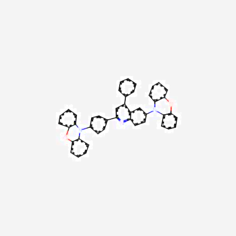 c1ccc(-c2cc(-c3ccc(N4c5ccccc5Oc5ccccc54)cc3)nc3ccc(N4c5ccccc5Oc5ccccc54)cc23)cc1